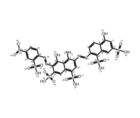 Nc1c(N=Nc2ccc3c(O)cc(S(=O)(=O)O)cc3c2S(=O)(=O)O)cc(S(=O)(=O)O)c2cc(S(=O)(=O)O)c(N=Nc3ccc([N+](=O)[O-])cc3S(=O)(=O)O)c(O)c12